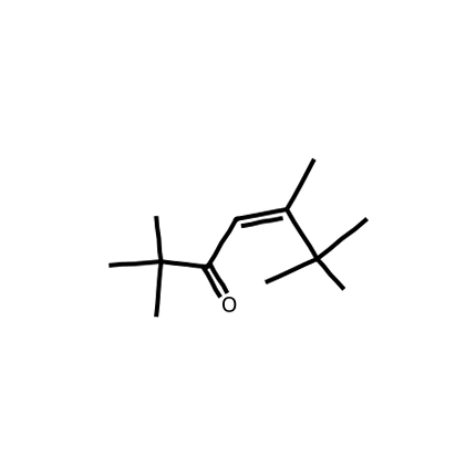 CC(=CC(=O)C(C)(C)C)C(C)(C)C